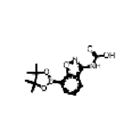 CC1(C)OB(c2cccc3c(NC(=O)O)noc23)OC1(C)C